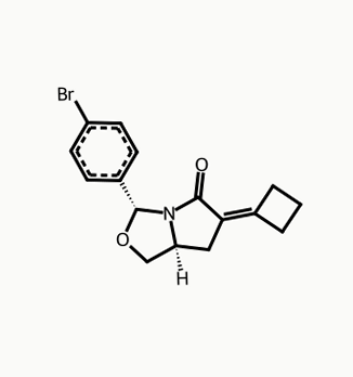 O=C1C(=C2CCC2)C[C@H]2CO[C@H](c3ccc(Br)cc3)N12